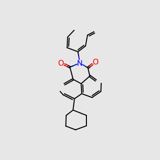 C=C/C=C(\C=C/C)N1C(=O)C(=C)C(=C(/C=C\C)/C(=C\C)C2CCCCC2)C(=C)C1=O